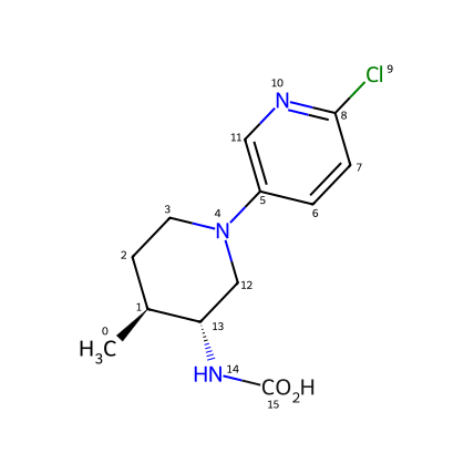 C[C@H]1CCN(c2ccc(Cl)nc2)C[C@@H]1NC(=O)O